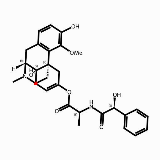 COc1c(O)ccc2c1[C@]13CCN(C)[C@H](C2)[C@]1(O)CC=C(OC(=O)[C@H](C)NC(=O)[C@@H](O)c1ccccc1)C3